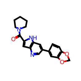 O=C(c1cc2ncc(-c3ccc4c(c3)OCO4)cc2[nH]1)N1CCCCC1